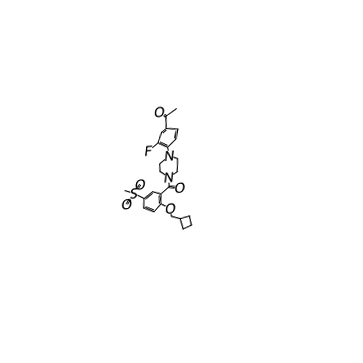 CC(=O)c1ccc(N2CCN(C(=O)c3cc(S(C)(=O)=O)ccc3OCC3CCC3)CC2)c(F)c1